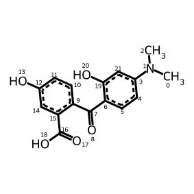 CN(C)c1ccc(C(=O)c2ccc(O)cc2C(=O)O)c(O)c1